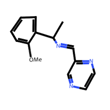 COc1ccccc1C(C)N=Cc1cnccn1